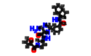 Nc1ncc(-c2cccc(C(=O)N[C@H]3CCc4ccccc43)c2)nc1C(=O)N[C@H]1CCN(C(=O)c2ccco2)C1